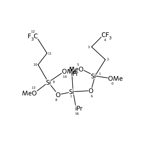 CO[Si](CCC(F)(F)F)(OC)O[Si](O[Si](CCC(F)(F)F)(OC)OC)(C(C)C)C(C)C